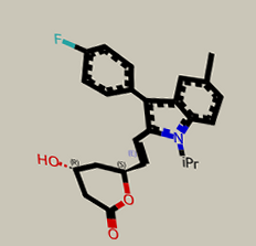 Cc1ccc2c(c1)c(-c1ccc(F)cc1)c(/C=C/[C@@H]1C[C@@H](O)CC(=O)O1)n2C(C)C